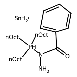 CCCCCCCC[PH](CCCCCCCC)(CCCCCCCC)N(N)C(=O)c1ccccc1.[SnH2]